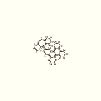 C1=Cc2ccccc2N(c2ccc3c4ccccc4c4c5ccccc5c5ccccc5c4c3c2)c2ccccc21